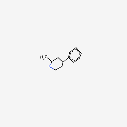 CC1CC(c2ccccc2)CC[N]1